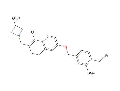 COc1cc(COc2ccc3c(c2)CCC(CN2CC(C(=O)O)C2)=C3C)ccc1CC(C)C